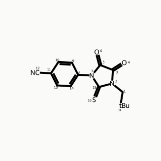 CC(C)(C)CN1C(=O)C(=O)N(c2ccc(C#N)cc2)C1=S